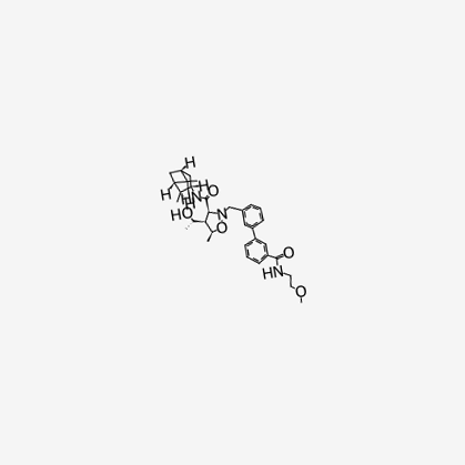 COCCNC(=O)c1cccc(-c2cccc(CN3O[C@@H](C)[C@@H]([C@H](C)O)[C@H]3C(=O)N[C@H]3C[C@H]4C[C@@H]([C@@H]3C)C4(C)C)c2)c1